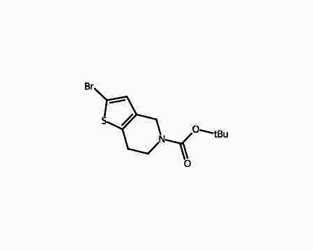 CC(C)(C)OC(=O)N1CCc2sc(Br)cc2C1